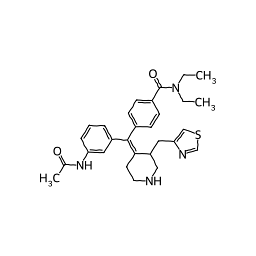 CCN(CC)C(=O)c1ccc(C(=C2CCNCC2Cc2cscn2)c2cccc(NC(C)=O)c2)cc1